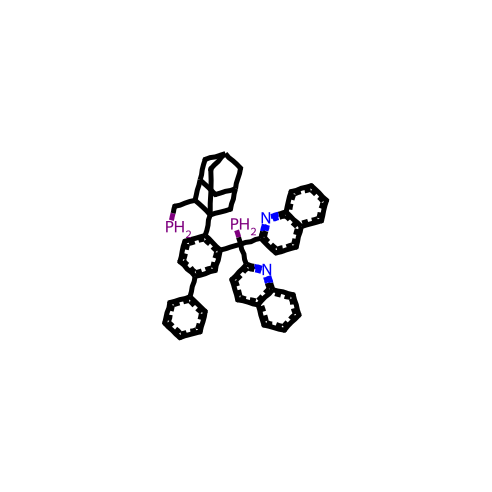 PCC1C2CC3CC(C2)CC1(c1ccc(-c2ccccc2)cc1C(P)(c1ccc2ccccc2n1)c1ccc2ccccc2n1)C3